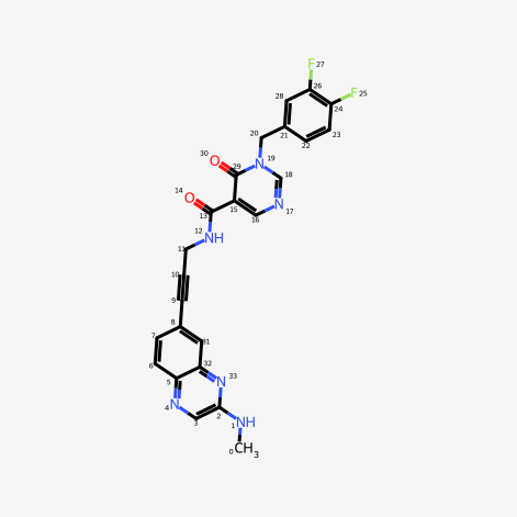 CNc1cnc2ccc(C#CCNC(=O)c3cncn(Cc4ccc(F)c(F)c4)c3=O)cc2n1